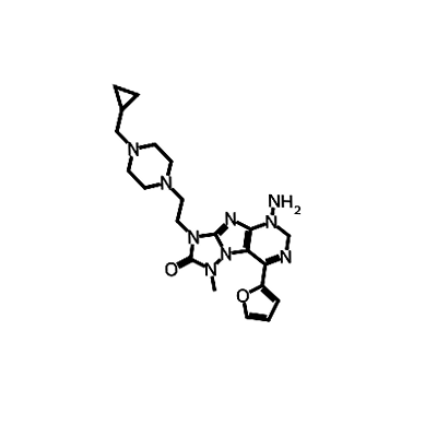 Cn1c(=O)n(CCN2CCN(CC3CC3)CC2)c2nc3c(n21)C(c1ccco1)=NCN3N